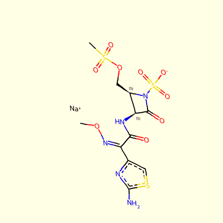 CON=C(C(=O)N[C@@H]1C(=O)N(S(=O)(=O)[O-])[C@@H]1COS(C)(=O)=O)c1csc(N)n1.[Na+]